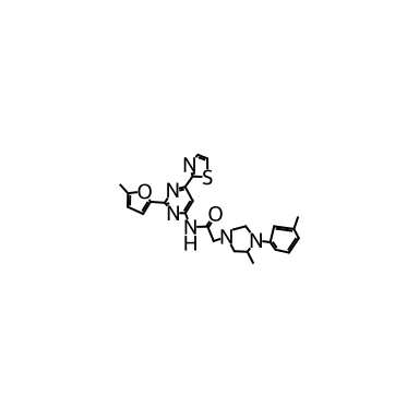 Cc1cccc(N2CCN(CC(=O)Nc3cc(-c4nccs4)nc(-c4ccc(C)o4)n3)CC2C)c1